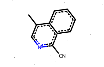 Cc1cnc(C#N)c2ccccc12